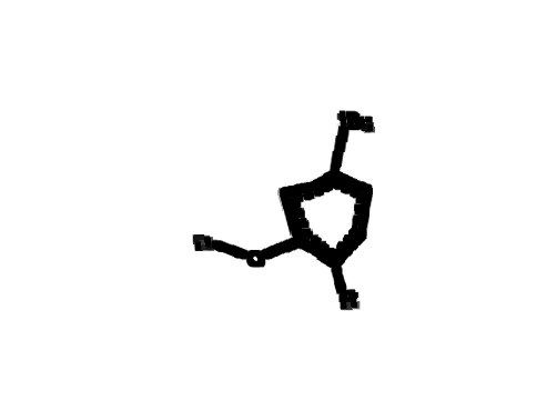 CCOc1cc(C(C)(C)C)ccc1CC